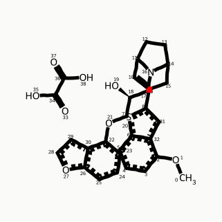 COc1cccc2sc(C3=CC4CCC(C3)N4C[C@H](O)COc3cccc4occc34)cc12.O=C(O)C(=O)O